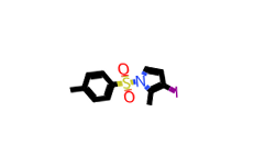 Cc1ccc(S(=O)(=O)n2ccc(I)c2C)cc1